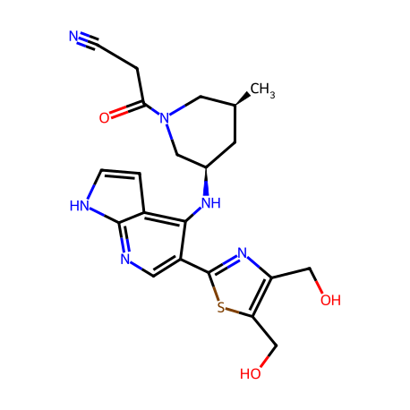 C[C@H]1C[C@@H](Nc2c(-c3nc(CO)c(CO)s3)cnc3[nH]ccc23)CN(C(=O)CC#N)C1